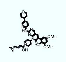 COc1cc(OC)c(Cl)c(-c2cc3cnc(Nc4ccc(C5CCOCC5)cn4)nc3n(C3CCN(C(O)/C=C/CN(C)C)CC3)c2=O)c1